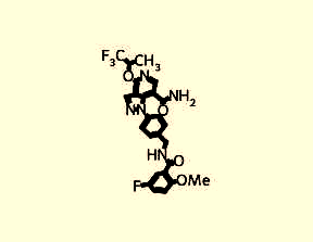 COc1ccc(F)cc1C(=O)NCc1ccc(-n2ncc3c(OC(C)C(F)(F)F)ncc(C(N)=O)c32)cc1